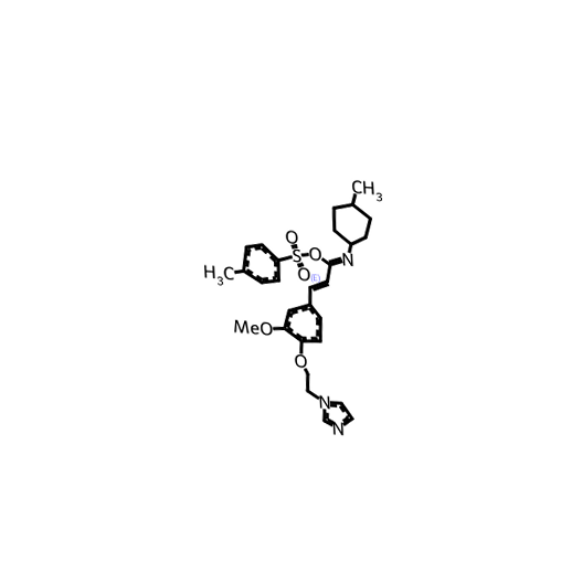 COc1cc(/C=C/C(=NC2CCC(C)CC2)OS(=O)(=O)c2ccc(C)cc2)ccc1OCCn1ccnc1